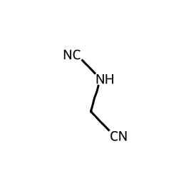 N#CCNC#N